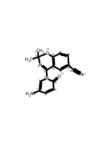 CC1(C)N=C(n2cc(N)ccc2=O)c2cc(C#N)ccc2O1